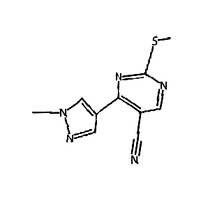 CSc1ncc(C#N)c(-c2cnn(C)c2)n1